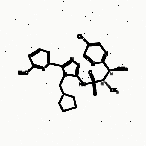 COc1cccc(-c2nnc(NS(=O)(=O)[C@@H](C)[C@H](OC)c3ncc(Cl)cn3)n2CC2CCCC2)n1